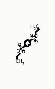 C=CCOS(=O)(=O)c1ccc(S(=O)(=O)OCC=C)cc1